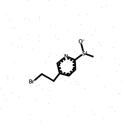 C[S+]([O-])c1ccc(CCBr)cn1